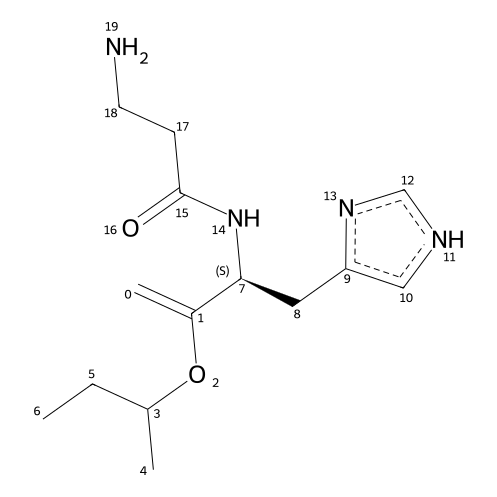 C=C(OC(C)CC)[C@H](Cc1c[nH]cn1)NC(=O)CCN